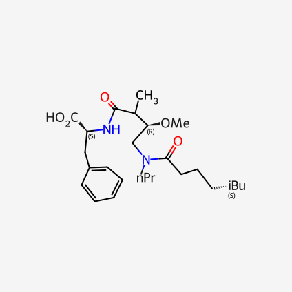 CCCN(C[C@H](OC)C(C)C(=O)N[C@@H](Cc1ccccc1)C(=O)O)C(=O)CCC[C@@H](C)CC